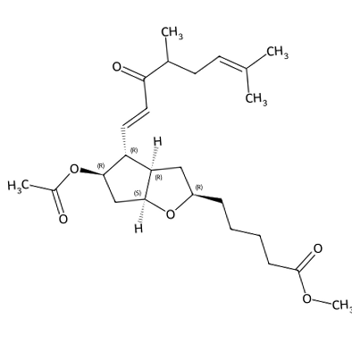 COC(=O)CCCC[C@@H]1C[C@@H]2[C@@H](C=CC(=O)C(C)CC=C(C)C)[C@H](OC(C)=O)C[C@@H]2O1